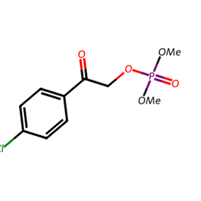 COP(=O)(OC)OCC(=O)c1ccc(Cl)cc1